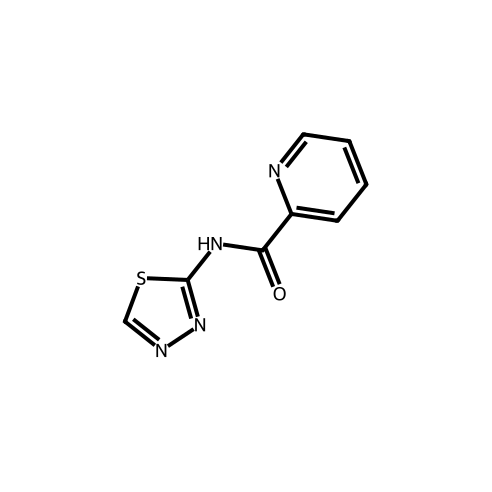 O=C(Nc1nncs1)c1ccccn1